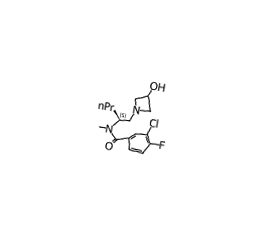 CCC[C@@H](CN1CC(O)C1)N(C)C(=O)c1ccc(F)c(Cl)c1